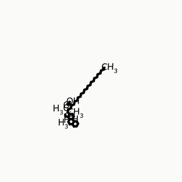 CCCCCCCCCCCCCCCCCCCCC(C[C@@H](C)[C@H]1CC[C@H]2[C@@H]3CCC4CCCC[C@]4(C)[C@H]3CC[C@]12C)C(=O)O